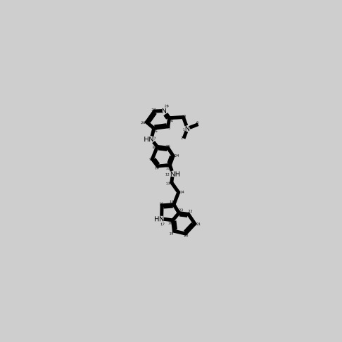 CN(C)Cc1cc(Nc2ccc(NCCc3c[nH]c4ccccc34)cc2)ccn1